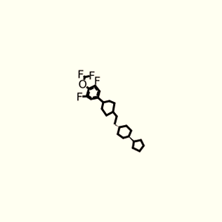 Fc1cc(C2CCC(CC[C@H]3CC[C@H](C4CCCC4)CC3)CC2)cc(F)c1OC(F)F